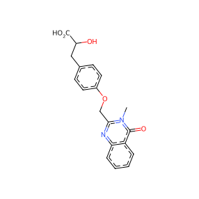 Cn1c(COc2ccc(CC(O)C(=O)O)cc2)nc2ccccc2c1=O